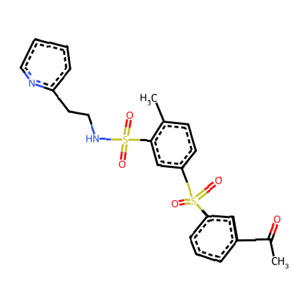 CC(=O)c1cccc(S(=O)(=O)c2ccc(C)c(S(=O)(=O)NCCc3ccccn3)c2)c1